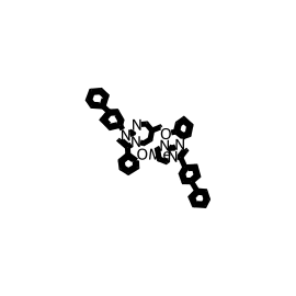 COc1ccccc1C1=CN(c2ccc(-c3ccccc3)cc2)C2=NCC(COc3ccccc3N3C=C(c4ccc(-c5ccccc5)cc4)N4CCCN=C43)CCN12